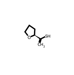 C=C(S)[C@@H]1CCCO1